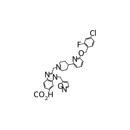 O=C(O)c1ccc2nc(CN3CCC(c4cccc(OCc5ccc(Cl)cc5F)n4)CC3)n(Cc3ccno3)c2c1